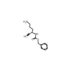 C#CC(CCCN)NC(=O)OCc1ccccc1